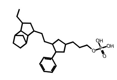 CCC1CC(CCC2CC(CCCOP(=O)(O)O)CC2c2ccccc2)C2C3CCC(C3)C12